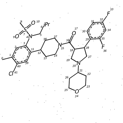 Cc1cc(N(CC(C)C)S(C)(=O)=O)c(C2CCN(C(=O)C3CN(C4CCOCC4)CC3c3ccc(F)cc3F)CC2)cc1Cl